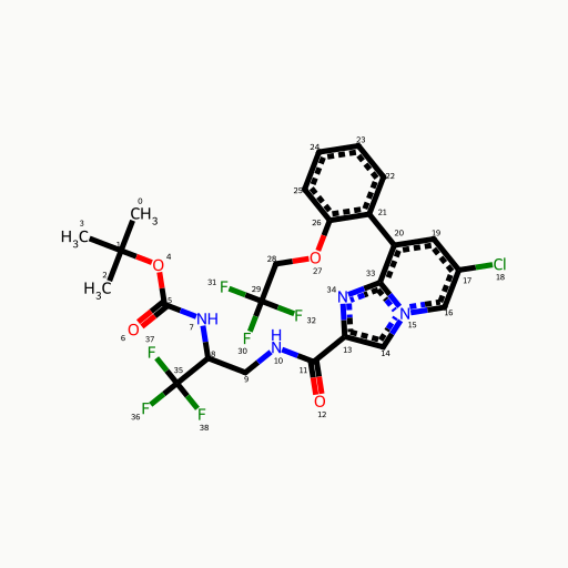 CC(C)(C)OC(=O)NC(CNC(=O)c1cn2cc(Cl)cc(-c3ccccc3OCC(F)(F)F)c2n1)C(F)(F)F